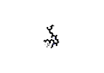 C=CCC(CC)CCC(=C)/C(C)=C/C=C\C(C)/C(=C\CC)CCC(CN)CC=C